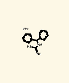 Br.N=C(S)NC(c1ccccc1)c1ccccc1